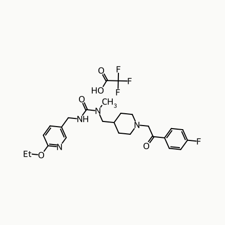 CCOc1ccc(CNC(=O)N(C)CC2CCN(CC(=O)c3ccc(F)cc3)CC2)cn1.O=C(O)C(F)(F)F